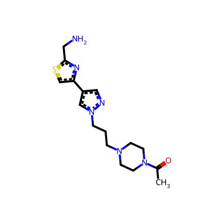 CC(=O)N1CCN(CCCn2cc(-c3csc(CN)n3)cn2)CC1